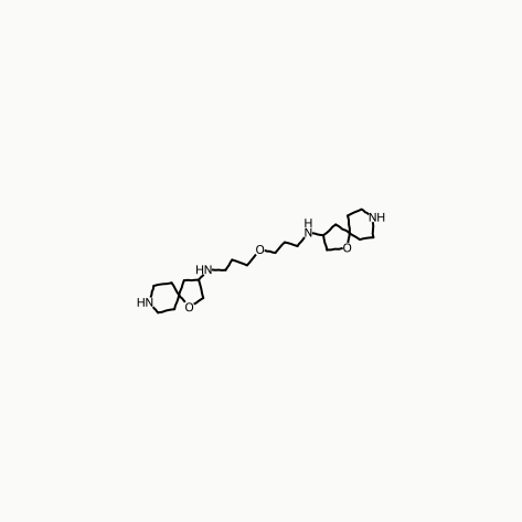 C(CNC1COC2(CCNCC2)C1)COCCCNC1COC2(CCNCC2)C1